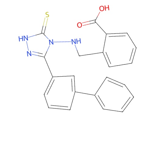 O=C(O)c1ccccc1CNn1c(-c2cccc(-c3ccccc3)c2)n[nH]c1=S